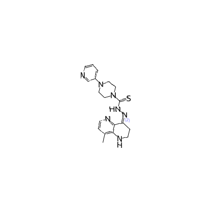 Cc1ccnc2c1NCC/C2=N/NC(=S)N1CCN(c2cccnc2)CC1